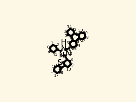 c1ccc(C2N=C(c3cccc4c3sc3ccccc34)N=C(c3ccc4c5ccccc5c5ccccc5c4c3)N2)cc1